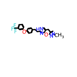 Cn1cc(Cc2c[nH]c(CCc3ccc(Oc4cccc(C(F)(F)F)c4)cc3)nc2=O)cn1